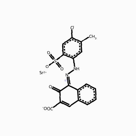 Cc1cc(N/N=C2/C(=O)C(C(=O)[O-])=Cc3ccccc32)c(S(=O)(=O)[O-])cc1Cl.[Sr+2]